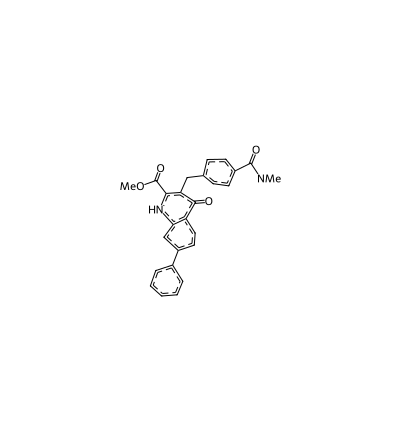 CNC(=O)c1ccc(Cc2c(C(=O)OC)[nH]c3cc(-c4ccccc4)ccc3c2=O)cc1